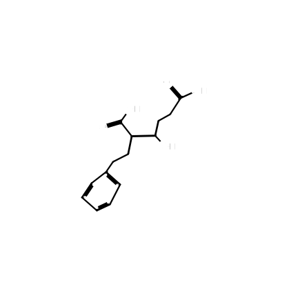 O=C(O)CCC(O)C(CCc1ccccc1)C(=O)O